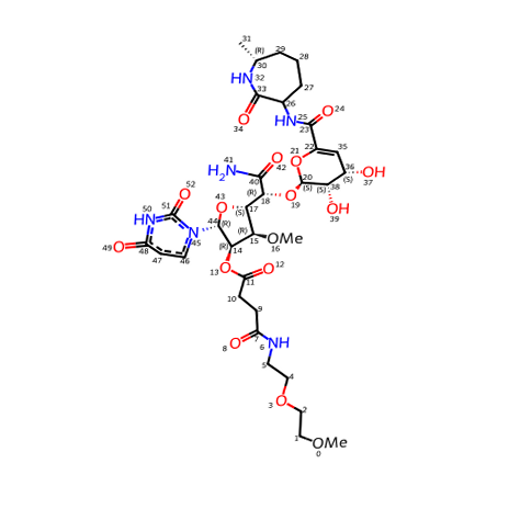 COCCOCCNC(=O)CCC(=O)O[C@@H]1[C@H](OC)[C@@H]([C@@H](O[C@H]2OC(C(=O)NC3CCC[C@@H](C)NC3=O)=C[C@H](O)[C@@H]2O)C(N)=O)O[C@H]1n1ccc(=O)[nH]c1=O